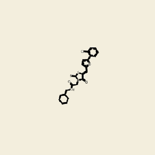 O=C(CN1C(=O)/C(=C/c2ccc(-c3ccccc3Cl)o2)SC1=S)NCC1CCCCC1